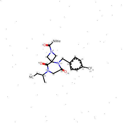 CNC(=O)N1CC2(C1)C(=O)N(C(C)CC#N)CC(=O)N2Cc1ccc(C(F)(F)F)cc1